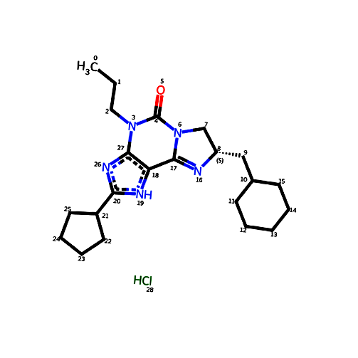 CCCN1C(=O)N2C[C@H](CC3CCCCC3)N=C2c2[nH]c(C3CCCC3)nc21.Cl